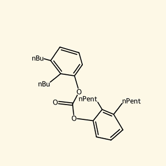 CCCCCc1cccc(OC(=O)Oc2cccc(CCCC)c2CCCC)c1CCCCC